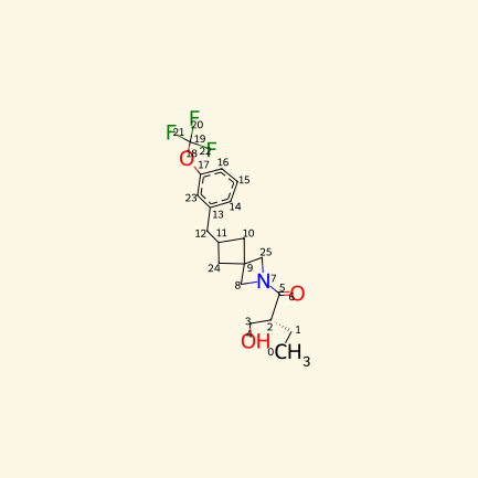 CC[C@H](CO)C(=O)N1CC2(CC(Cc3cccc(OC(F)(F)F)c3)C2)C1